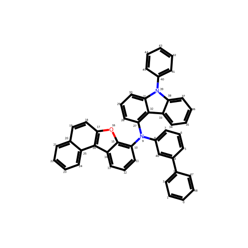 c1ccc(-c2cccc(N(c3cccc4c3oc3ccc5ccccc5c34)c3cccc4c3c3ccccc3n4-c3ccccc3)c2)cc1